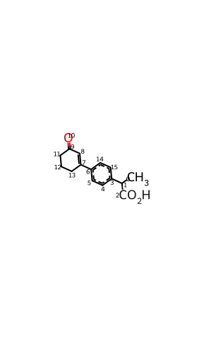 CC(C(=O)O)c1ccc(C2=CC(=O)CCC2)cc1